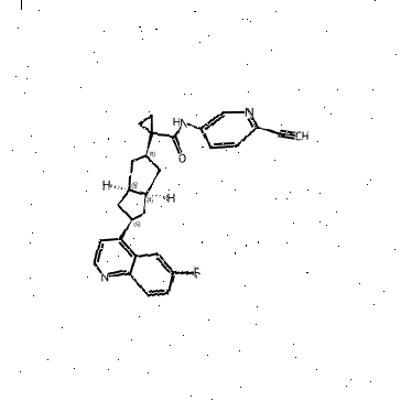 C#Cc1ccc(NC(=O)C2([C@H]3C[C@H]4C[C@@H](c5ccnc6ccc(F)cc56)C[C@H]4C3)CC2)cn1